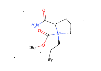 CC(C)CC[N@+]1(C(=O)OC(C)(C)C)CCCC1C(N)=O